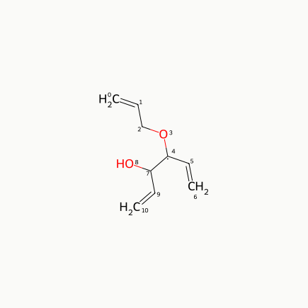 C=CCO[C](C=C)C(O)C=C